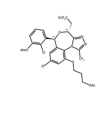 CCOC(=O)C[C@H]1O[C@H](c2cccc(OC)c2Cl)c2cc(Cl)cc(OCCCOC(C)=O)c2-n2c1nnc2C(F)(F)F